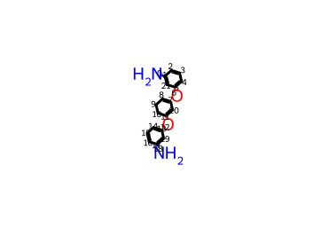 Nc1cccc(OC2=CCCC(Oc3cccc(N)c3)=C2)c1